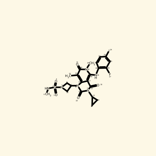 CNS(=O)(=O)N1CC(n2c(=O)n(C3CC3)c(=O)c3c(Nc4ccc(I)cc4F)n(C)c(=O)c(C)c32)C1